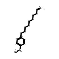 C=CCCCCCCCCc1ccc(OCC)cc1